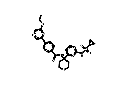 CCOc1cncc(-c2ccc(C(=O)NC3(c4ccnc(NS(=O)(=O)C5CC5)n4)CCOCC3)nc2)n1